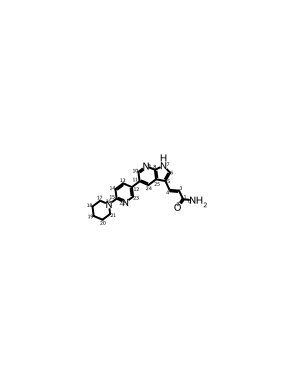 NC(=O)C=Cc1c[nH]c2ncc(-c3ccc(N4CCCCC4)nc3)cc12